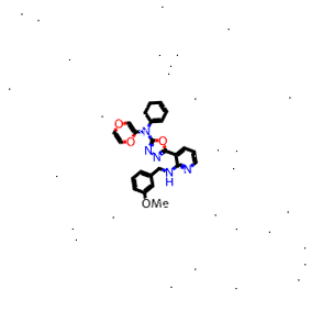 COc1cccc(CNc2ncccc2-c2nnc(N(C3=CC=CCC3)C3=COC=CO3)o2)c1